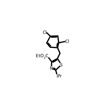 CCOC(=O)c1nc(C(C)C)sc1Cc1ccc(Cl)cc1Cl